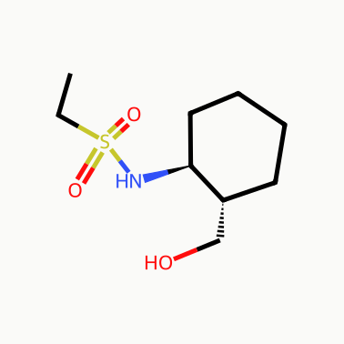 CCS(=O)(=O)N[C@H]1CCCC[C@@H]1CO